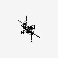 CCCCCCCCCCC[C@H](CC(=O)N[C@@H](CC[C@@H]1O[C@H](CO)[C@@H](O)[C@H](OC(=O)C[C@@H](CCCCCCCCCCC)OC(=O)CCCCCCCCC)[C@H]1NC(=O)OCC(Cl)(Cl)Cl)C(=O)OCc1ccccc1)OC(=O)CCCCCCCCC